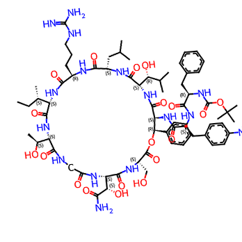 CC[C@H](C)[C@@H]1NC(=O)[C@@H](CCCNC(=N)N)NC(=O)[C@H](CC(C)C)NC(=O)[C@H]([C@H](O)C(C)C)NC(=O)[C@@H](NC(=O)[C@H](Cc2ccc([N+](=O)[O-])cc2)NC(=O)[C@@H](Cc2ccccc2)NC(=O)OC(C)(C)C)[C@@H](c2ccccc2)OC(=O)[C@H](CO)NC(=O)[C@H]([C@H](O)C(N)=O)NC(=O)CNC(=O)[C@H]([C@H](C)O)NC1=O